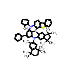 Cc1cc2c(cc1N1c3cc4c(cc3B3c5c1cc(-c1ccccc1)cc5N(c1ccccc1C)c1ccc5c(sc6ccccc65)c13)C(C)(C)CC4(C)C)C(C)(C)CCC2(C)C